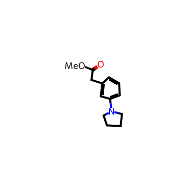 COC(=O)Cc1cccc(N2CCCC2)c1